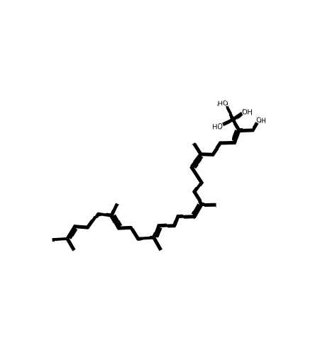 CC(C)=CCCC(C)=CCCC(C)=CCCC=C(C)CCC=C(C)CCC=C(CO)C(O)(O)O